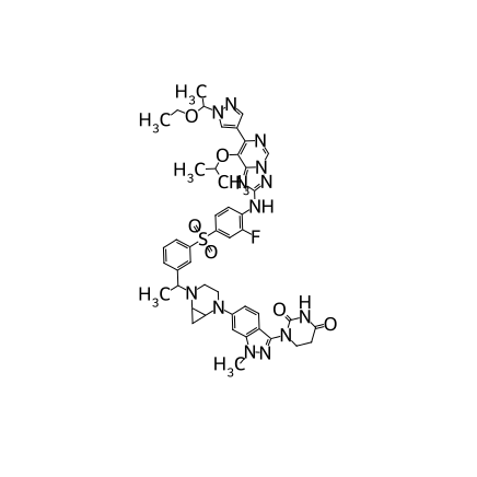 CCOC(C)n1cc(-c2ncn3nc(Nc4ccc(S(=O)(=O)c5cccc(C(C)N6CCN(c7ccc8c(N9CCC(=O)NC9=O)nn(C)c8c7)C7CC76)c5)cc4F)nc3c2OC(C)C)cn1